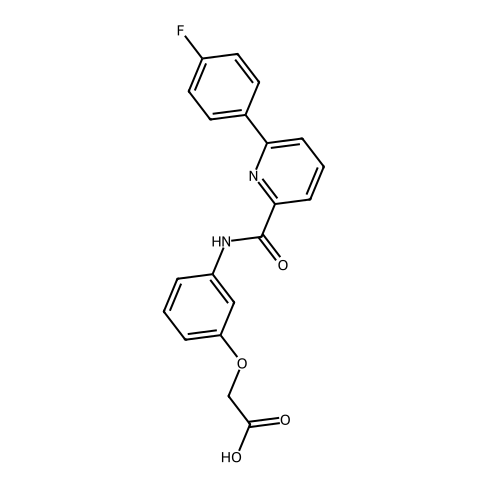 O=C(O)COc1cccc(NC(=O)c2cccc(-c3ccc(F)cc3)n2)c1